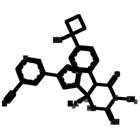 CN1C(=N)N[C@](C)(c2cc(-c3cncc(C#N)c3)cs2)C(c2ccc(C3(O)CCC3)cc2)C1=O